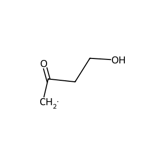 [CH2]C(=O)CCO